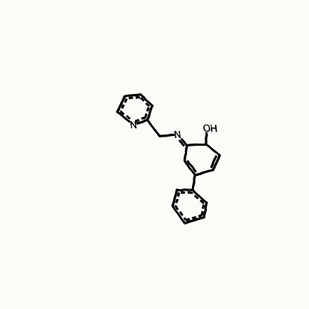 OC1C=CC(c2ccccc2)=C/C1=N\Cc1ccccn1